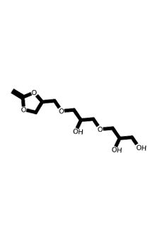 C=C1OCC(COCC(O)COCC(O)CO)O1